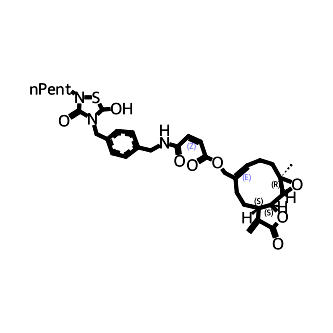 C=C1C(=O)O[C@H]2[C@H]1CC/C(COC(=O)/C=C\C(=O)NCc1ccc(CN3C(=O)N(CCCCC)SC3O)cc1)=C\CC[C@@]1(C)O[C@@H]21